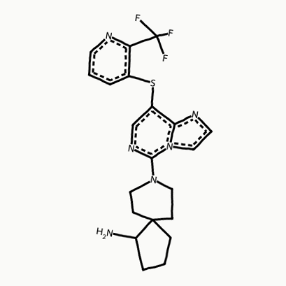 NC1CCCC12CCN(c1ncc(Sc3cccnc3C(F)(F)F)c3nccn13)CC2